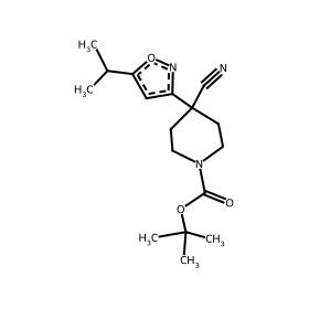 CC(C)c1cc(C2(C#N)CCN(C(=O)OC(C)(C)C)CC2)no1